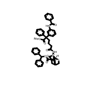 COC(=O)C(CCCC(=O)N[N+]12C(=O)C3CC(=C1C(=O)OC(c1ccccc1)c1ccccc1)CS[C@@H]32)(c1ccccc1)c1cccc(NC(=O)c2ccccc2)c1